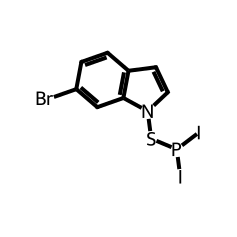 Brc1ccc2ccn(SP(I)I)c2c1